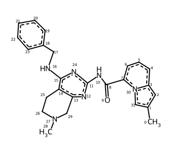 Cc1cc2cccc(C(=O)Nc3nc4c(c(NCc5ccccc5)n3)CCN(C)C4)n2c1